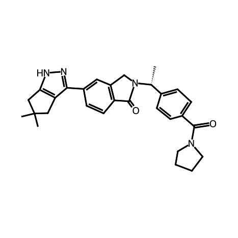 C[C@H](c1ccc(C(=O)N2CCCC2)cc1)N1Cc2cc(-c3n[nH]c4c3CC(C)(C)C4)ccc2C1=O